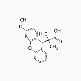 COc1ccc2c(c1)Oc1ccccc1[C@@H]2C(C)(C)C(=O)O